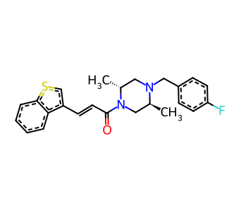 C[C@@H]1CN(Cc2ccc(F)cc2)[C@@H](C)CN1C(=O)/C=C/c1csc2ccccc12